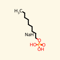 CCCCCCCCCOP(=O)(O)O.[NaH]